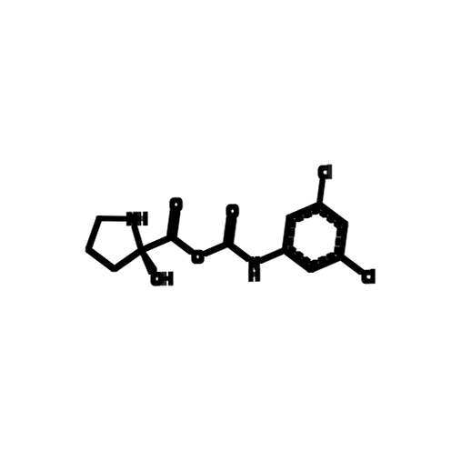 O=C(Nc1cc(Cl)cc(Cl)c1)OC(=O)[C@]1(O)CCCN1